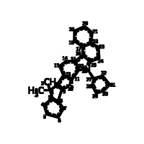 CC1(C)c2ccccc2-c2sc3c(ccc4c5c6ccccc6ccc5n(-c5ccccc5)c43)c21